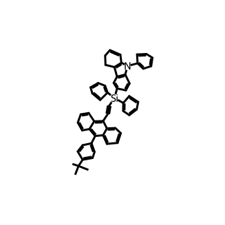 CC(C)(C)c1ccc(-c2c3ccccc3c(C#C[Si](c3ccccc3)(c3ccccc3)c3ccc4c(c3)c3c(n4-c4ccccc4)C=CCC3)c3ccccc23)cc1